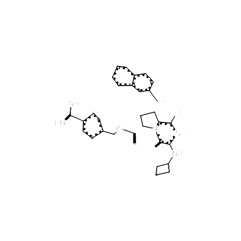 N=C(N)c1ccc(CNC(=O)[C@@H]2C[C@H](Cc3ccc4ccccc4c3)c3c(Cl)nc(NC4CCC4)c(=O)n32)cc1